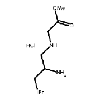 COC(=O)CNCC(N)CC(C)C.Cl